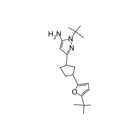 CC(C)(C)c1ccc(C2CCC(c3cc(N)n(C(C)(C)C)n3)C2)o1